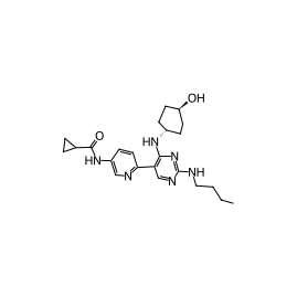 CCCCNc1ncc(-c2ccc(NC(=O)C3CC3)cn2)c(N[C@H]2CC[C@H](O)CC2)n1